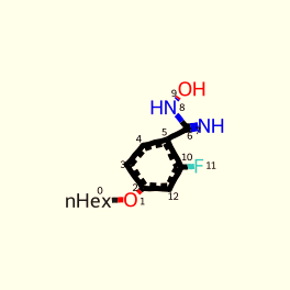 CCCCCCOc1ccc(C(=N)NO)c(F)c1